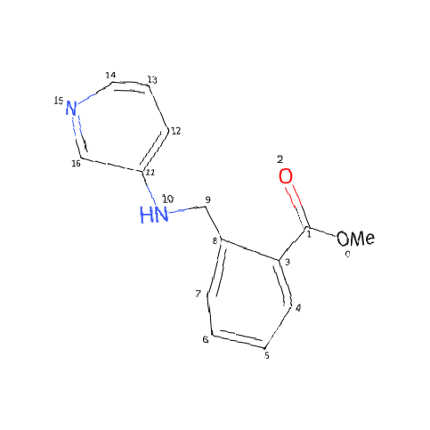 COC(=O)c1ccccc1CNc1cccnc1